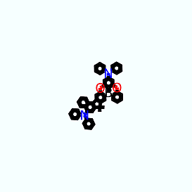 CC1(C)c2cc3c(cc2-c2c1cc(N(c1ccccc1)c1ccccc1)c1ccccc21)Oc1cc(N(c2ccccc2)c2ccccc2)cc2c1B3c1ccccc1O2